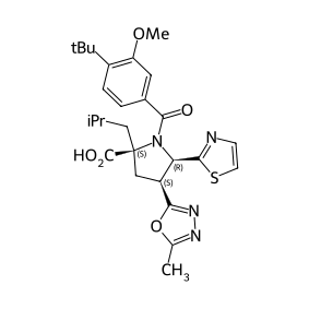 COc1cc(C(=O)N2[C@@H](c3nccs3)[C@@H](c3nnc(C)o3)C[C@@]2(CC(C)C)C(=O)O)ccc1C(C)(C)C